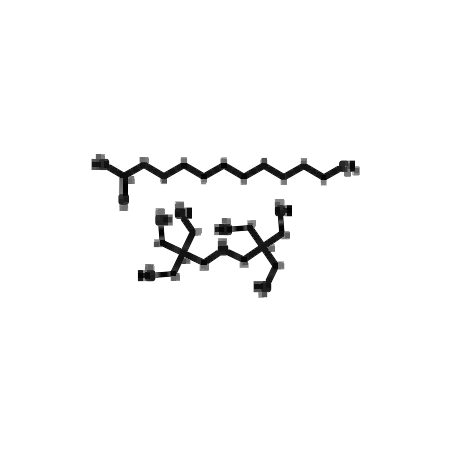 CCCCCCCCCCCC(=O)O.OCC(CO)(CO)COCC(CO)(CO)CO